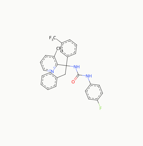 O=C(Nc1ccc(F)cc1)NC(Cc1ccccc1)(c1cccc(C(F)(F)F)c1)c1ncccc1C(F)(F)F